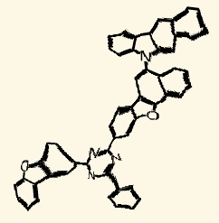 c1ccc(-c2nc(-c3ccc4c(c3)oc3c5ccccc5c(-n5c6ccccc6c6cc7ccccc7cc65)cc43)nc(-c3ccc4oc5ccccc5c4c3)n2)cc1